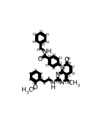 COc1ccccc1CCNc1nc(C)c2ccc(=O)n(-c3ccc(C(=O)NCc4ccccc4)cc3)c2n1